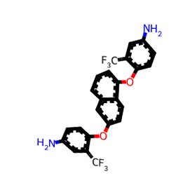 Nc1ccc(Oc2ccc3c(Oc4ccc(N)cc4C(F)(F)F)cccc3c2)c(C(F)(F)F)c1